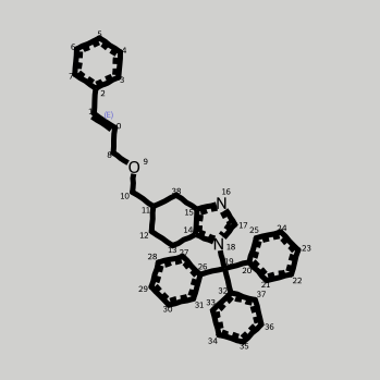 C(=C\c1ccccc1)/COCC1CCc2c(ncn2C(c2ccccc2)(c2ccccc2)c2ccccc2)C1